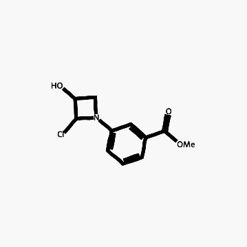 COC(=O)c1cccc(N2CC(O)C2Cl)c1